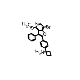 COc1ncc(Br)c2oc(-c3ccc(C4(N)CCC4)cc3)c(-c3ccccc3)c12